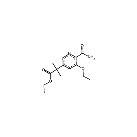 CCOC(=O)C(C)(C)c1cnc(C(N)=O)c(OCC)c1